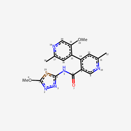 COc1nnc(NC(=O)c2cnc(C)cc2-c2cc(C)ncc2OC)s1